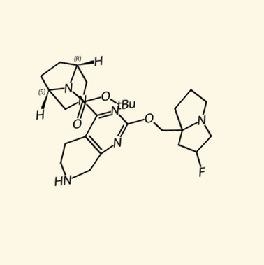 CC(C)(C)OC(=O)N1[C@@H]2CC[C@H]1CN(c1nc(OCC34CCCN3CC(F)C4)nc3c1CCNC3)C2